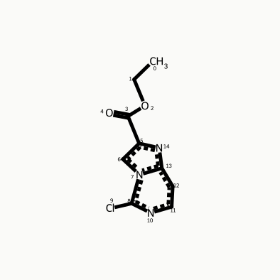 CCOC(=O)c1cn2c(Cl)nccc2n1